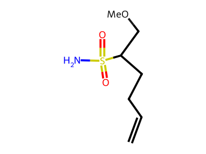 C=CCCC(COC)S(N)(=O)=O